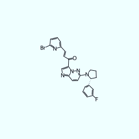 O=C(C=Cc1cccc(Br)n1)c1cnc2ccc(N3CCC[C@@H]3c3cccc(F)c3)nn12